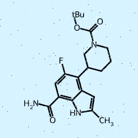 Cc1cc2c(C3CCCN(C(=O)OC(C)(C)C)C3)c(F)cc(C(N)=O)c2[nH]1